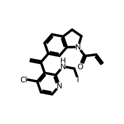 C=CC(=O)N1CCc2ccc(C(=C)c3c(Cl)ccnc3NCI)cc21